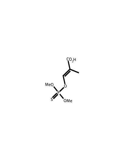 COP(=S)(OC)OC=C(C)C(=O)O